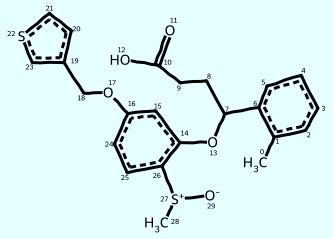 Cc1ccccc1C(CCC(=O)O)Oc1cc(OCc2ccsc2)ccc1[S+](C)[O-]